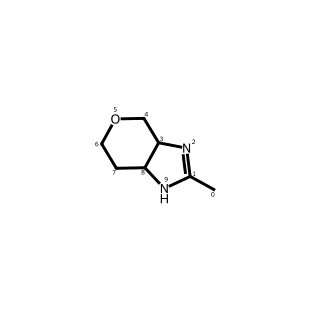 CC1=NC2COCCC2N1